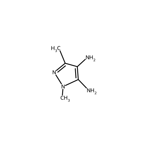 Cc1nn(C)c(N)c1N